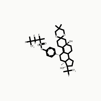 CC1(C)COC2(CCC3=C4C(CC[C@@]3(O)C2)C2CC[C@@](O)(C(C)(F)C(F)(F)F)[C@@]2(C)C[C@@H]4c2ccc(OS(=O)(=O)C(C)(F)C(F)(F)C(C)(F)C(F)(F)F)cc2)OC1